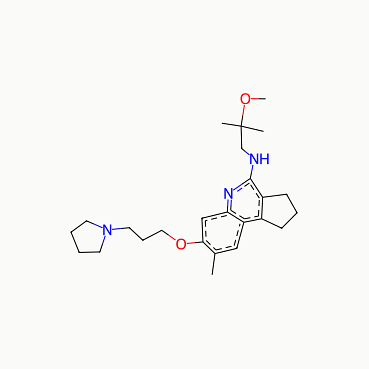 COC(C)(C)CNc1nc2cc(OCCCN3CCCC3)c(C)cc2c2c1CCC2